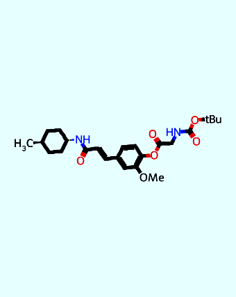 COc1cc(C=CC(=O)N[C@H]2CC[C@H](C)CC2)ccc1OC(=O)CNC(=O)OC(C)(C)C